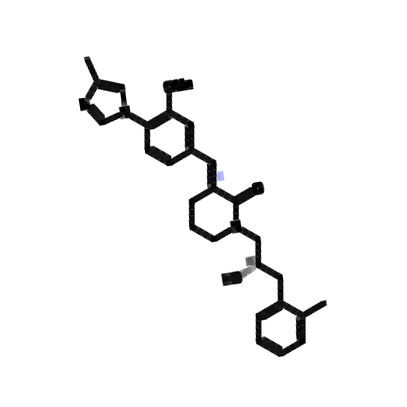 COc1cc(/C=C2\CCCN(C[C@@H](O)Cc3ccccc3C)C2=O)ccc1-n1cnc(C)c1